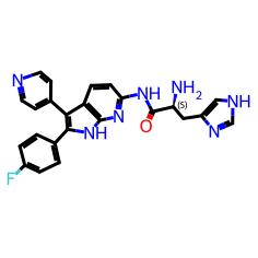 N[C@@H](Cc1c[nH]cn1)C(=O)Nc1ccc2c(-c3ccncc3)c(-c3ccc(F)cc3)[nH]c2n1